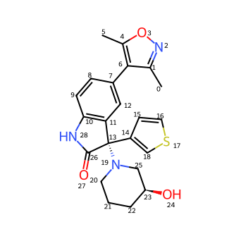 Cc1noc(C)c1-c1ccc2c(c1)[C@](c1ccsc1)(N1CCC[C@H](O)C1)C(=O)N2